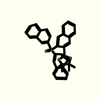 CC1(C)OB(c2cc3ccccc3cc2P(=O)(c2ccc3ccccc3c2)c2ccc3ccccc3c2)OC1(C)C